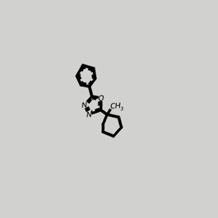 CC1(c2nnc(-c3ccccc3)o2)CCCCC1